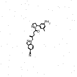 C=C(CCC(=O)N1N=CCC1c1cc(C)cc(P)c1)Cn1ncc2cc(C#N)ccc21